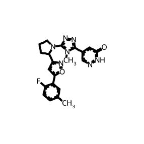 Cc1ccc(F)c(-c2cc(C3CCCN3c3nnc(-c4cn[nH]c(=O)c4)n3C)no2)c1